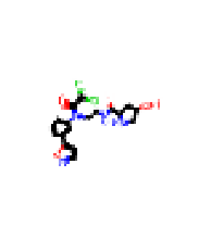 O=C(NCCN(C(=O)C(Cl)Cl)c1cccc(-c2ccno2)c1)C1CC(O)CN1